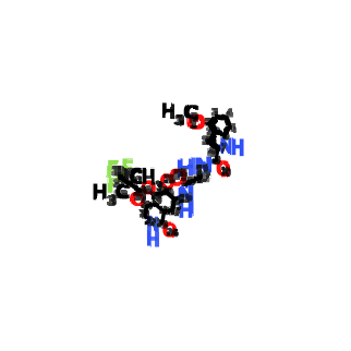 COc1cccc2[nH]c(C(=O)NCC(=O)NC(CC3CCCNC3=O)C(=O)COC(=O)C(C)(C)C(F)(F)F)cc12